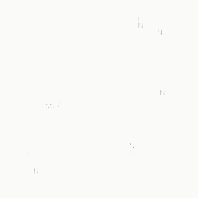 COc1cc2c(cc1-c1c(C)noc1C)[nH]c1ccnc(-c3cccc4[nH]ncc34)c12